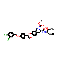 C#CC[C@H](NC(=O)[C@@H]1Cc2cc3c(cc2CN1C(=O)OC(C)(C)C)OC(c1ccc(OCc2ccc(Cl)c(Cl)c2)cc1)CO3)C(=O)OC